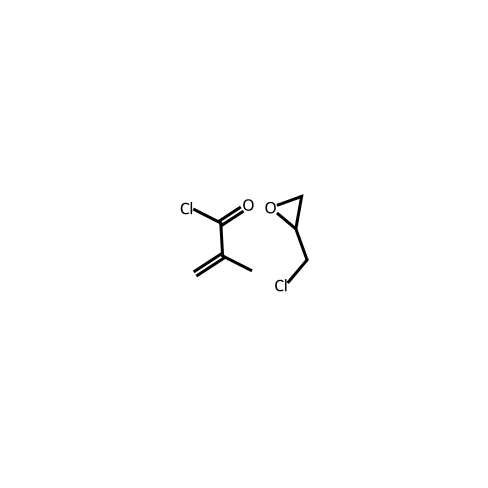 C=C(C)C(=O)Cl.ClCC1CO1